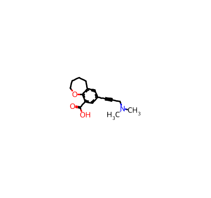 CN(C)CC#Cc1cc2c(c(C(=O)O)c1)OCCCC2